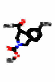 COC(=O)C1CN(C(=O)OC(C)(C)C)Cc2ccc(OC)cc21